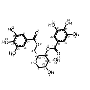 O=C(OC[C@H]1OC[C@H](O)[C@@H](O)[C@@H]1OC(=O)c1cc(O)c(O)c(O)c1)c1cc(O)c(O)c(O)c1